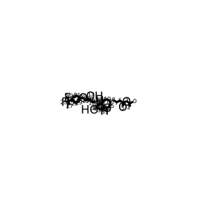 CC(C)OC(=O)CCC[C@H]1CC[C@@H]2[C@@H](C=C[C@@H](O)COc3ccc(C(F)(F)F)cc3)[C@H](O)C[C@@H]2OC1